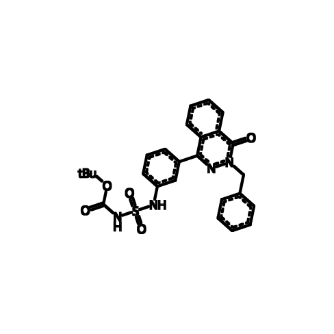 CC(C)(C)OC(=O)NS(=O)(=O)Nc1cccc(-c2nn(Cc3ccccc3)c(=O)c3ccccc23)c1